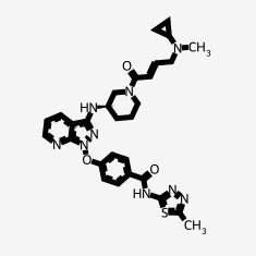 Cc1nnc(NC(=O)c2ccc(On3nc(N[C@@H]4CCCN(C(=O)C=CCN(C)C5CC5)C4)c4cccnc43)cc2)s1